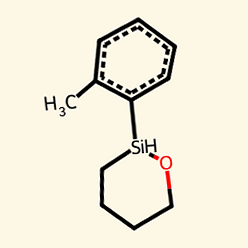 Cc1ccccc1[SiH]1CCCCO1